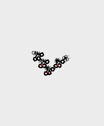 O=P([O-])([O-])[O-].[Cl-].c1ccc(C2=NN=N[N+]2(c2ccccc2)c2ccccc2)cc1.c1ccc(C2=NN=N[N+]2(c2ccccc2)c2ccccc2)cc1.c1ccc(C2=NN=N[N+]2(c2ccccc2)c2ccccc2)cc1.c1ccc(C2=NN=N[N+]2(c2ccccc2)c2ccccc2)cc1